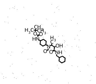 CC(C(O)C(=O)NCC1CCCCC1)N(C=O)C1CCC(NC(=O)OC(C)(C)C)CC1